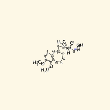 COc1ccc2c(c1OC)CCCCN(C[C@H](C)NC(=O)/C=N\O)C2